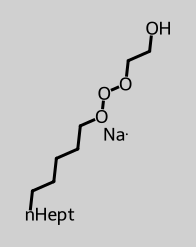 CCCCCCCCCCCCOOOCCO.[Na]